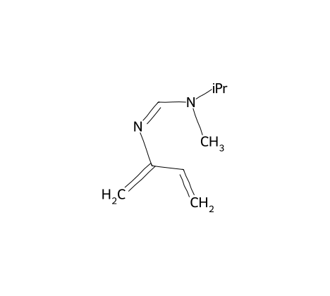 C=CC(=C)/N=C\N(C)C(C)C